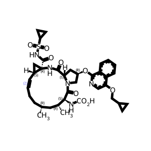 C[C@@H]1CC/C=C\[C@@H]2C[C@@]2(C(=O)NS(=O)(=O)C2CC2)NC(=O)[C@@H]2C[C@@H](Oc3ncc(OCC4CC4)c4ccccc34)CN2C(=O)[C@@H](NC(=O)O)[C@H](C)C1